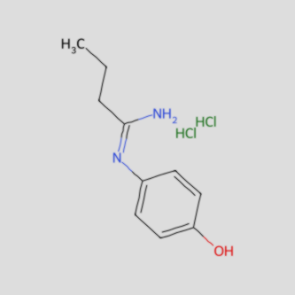 CCCC(N)=Nc1ccc(O)cc1.Cl.Cl